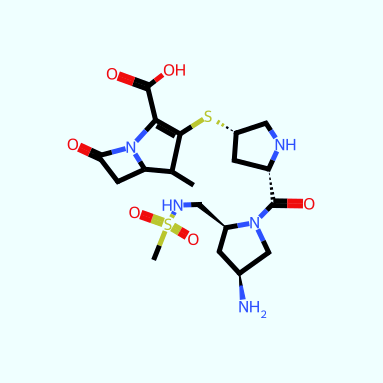 CC1C(S[C@@H]2CN[C@H](C(=O)N3C[C@@H](N)C[C@H]3CNS(C)(=O)=O)C2)=C(C(=O)O)N2C(=O)CC12